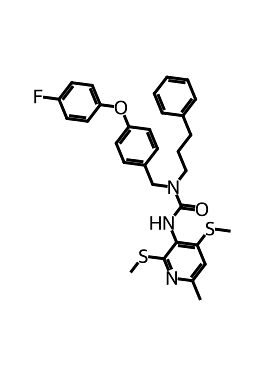 CSc1cc(C)nc(SC)c1NC(=O)N(CCCc1ccccc1)Cc1ccc(Oc2ccc(F)cc2)cc1